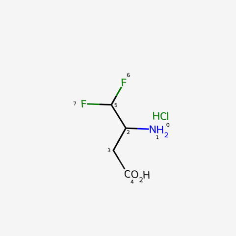 Cl.NC(CC(=O)O)C(F)F